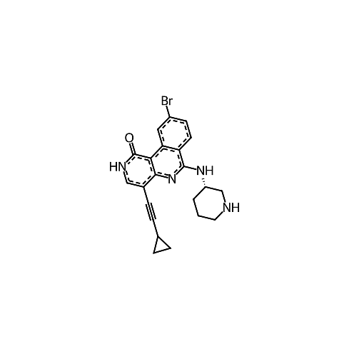 O=c1[nH]cc(C#CC2CC2)c2nc(N[C@H]3CCCNC3)c3ccc(Br)cc3c12